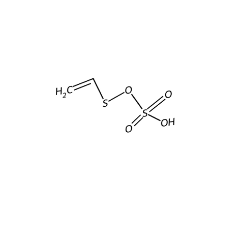 C=CSOS(=O)(=O)O